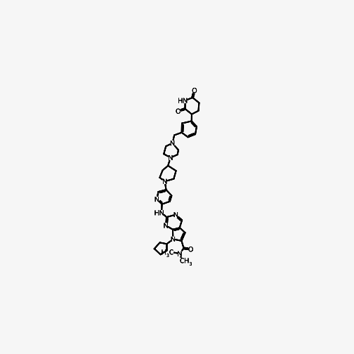 CN(C)C(=O)c1cc2cnc(Nc3ccc(N4CCC(N5CCN(Cc6cccc(C7CCC(=O)NC7=O)c6)CC5)CC4)cn3)nc2n1C1CCCC1